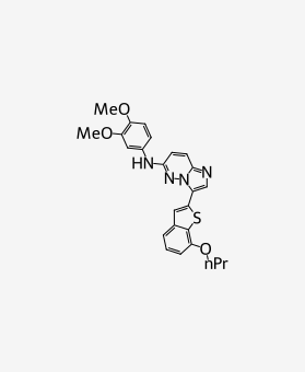 CCCOc1cccc2cc(-c3cnc4ccc(Nc5ccc(OC)c(OC)c5)nn34)sc12